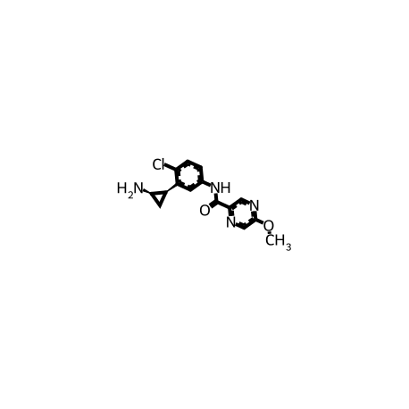 COc1cnc(C(=O)Nc2ccc(Cl)c([C@H]3C[C@H]3N)c2)cn1